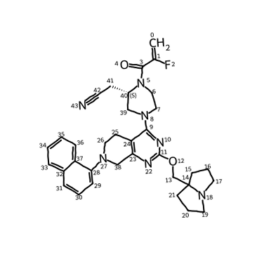 C=C(F)C(=O)N1CCN(c2nc(OCC34CCCN3CCC4)nc3c2CCN(c2cccc4ccccc24)C3)C[C@@H]1CC#N